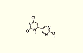 COc1ncc(-c2cc(Cl)nc(=O)n2C)cn1